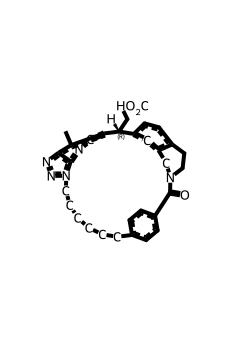 Cc1c2cnc3c1nnn3CCCCCCc1ccc(cc1)C(=O)N1CCc3ccc(cc3C1)[C@H]2CC(=O)O